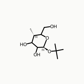 C[C@@H]1C(CO)O[C@@H](OC(C)(C)C)C(O)C1O